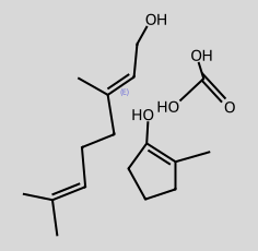 CC(C)=CCC/C(C)=C/CO.CC1=C(O)CCC1.O=C(O)O